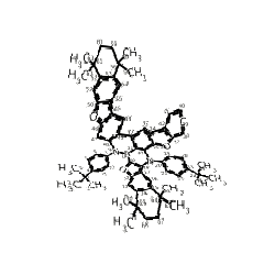 CC(C)(C)c1ccc(N2B3c4oc5cc6c(cc5c4N(c4ccc(C(C)(C)C)cc4)c4c3c(cc3c4oc4ccccc43)-c3cc4c(cc32)oc2cc3c(cc24)C(C)(C)CCC3(C)C)C(C)(C)CCC6(C)C)cc1